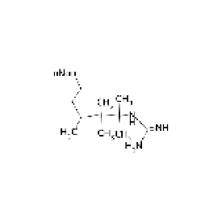 CCCCCCCCCCCC(C)C(C)(C)C(C)(C)NC(=N)N